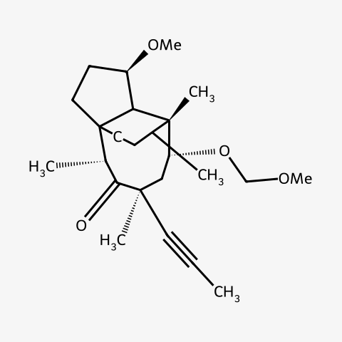 CC#C[C@]1(C)C[C@@H](OCOC)[C@]2(C)C(C)CCC3(CC[C@@H](OC)C32)[C@@H](C)C1=O